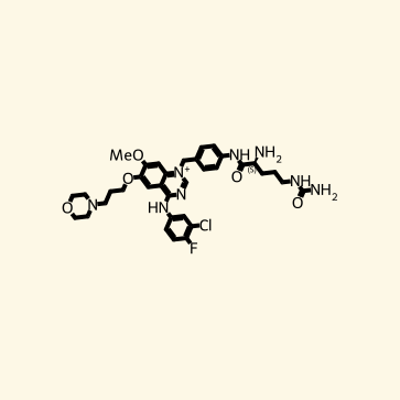 COc1cc2c(cc1OCCCN1CCOCC1)c(Nc1ccc(F)c(Cl)c1)nc[n+]2Cc1ccc(NC(=O)[C@@H](N)CCCNC(N)=O)cc1